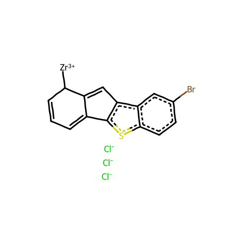 Brc1ccc2sc3c(c2c1)C=C1C3=CC=C[CH]1[Zr+3].[Cl-].[Cl-].[Cl-]